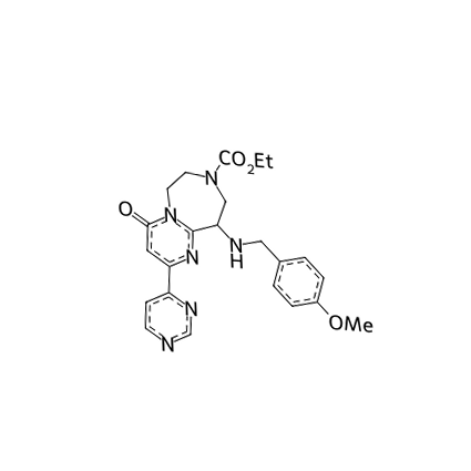 CCOC(=O)N1CCn2c(nc(-c3ccncn3)cc2=O)C(NCc2ccc(OC)cc2)C1